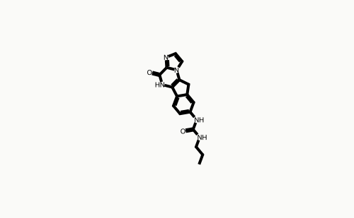 CCCNC(=O)Nc1ccc2c(c1)Cc1c-2[nH]c(=O)c2nccn12